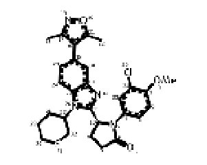 COc1ccc(N2C(=O)CC[C@H]2c2nc3cc(-c4c(C)noc4C)ccc3n2C2CCCSC2)cc1Cl